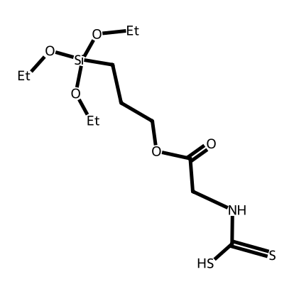 CCO[Si](CCCOC(=O)CNC(=S)S)(OCC)OCC